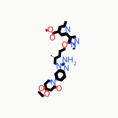 COC(=O)c1cc(C)nc(-c2cnn(C)c2OCCC[C@@H](C)Cn2c(N)nc3ccc(N4CCC5(CC4=O)OCCO5)cc32)c1